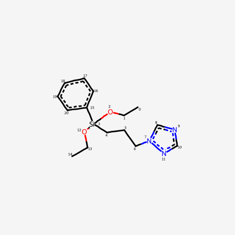 CCO[Si](CCCn1cncn1)(OCC)c1ccccc1